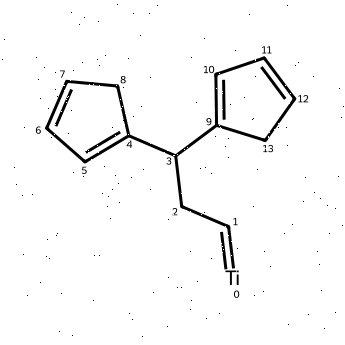 [Ti]=[CH]CC(C1=CC=CC1)C1=CC=CC1